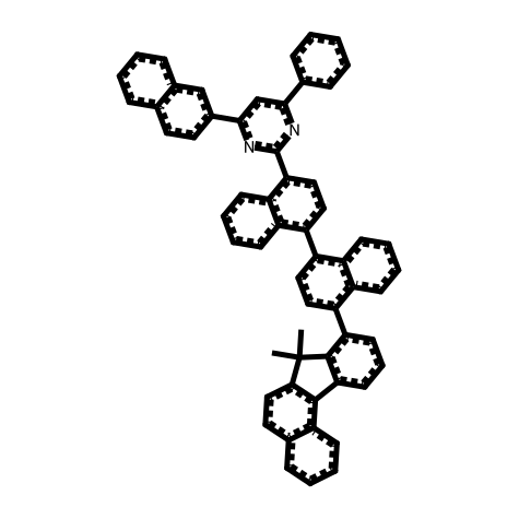 CC1(C)c2ccc3ccccc3c2-c2cccc(-c3ccc(-c4ccc(-c5nc(-c6ccccc6)cc(-c6ccc7ccccc7c6)n5)c5ccccc45)c4ccccc34)c21